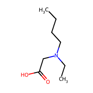 CCCCN(CC)CC(=O)O